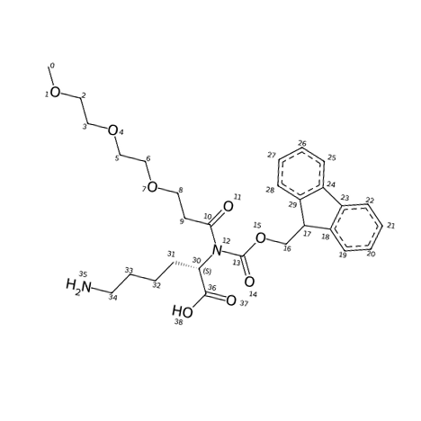 COCCOCCOCCC(=O)N(C(=O)OCC1c2ccccc2-c2ccccc21)[C@@H](CCCCN)C(=O)O